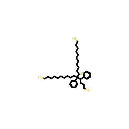 S[CH]CCC(c1ccccc1)C(CCCCCCCCCCS)([C](S)CCCCCCCCCCS)c1ccccc1